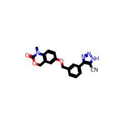 CN1C(=O)OCc2cc(OCc3cccc(-c4nn[nH]c4C#N)c3)ccc21